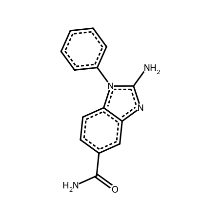 NC(=O)c1ccc2c(c1)nc(N)n2-c1ccccc1